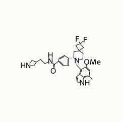 COc1cc(C)c2[nH]ccc2c1CN1CCC2(C[C@H]1c1ccc(C(=O)NCCC3CNC3)cc1)CC(F)(F)C2